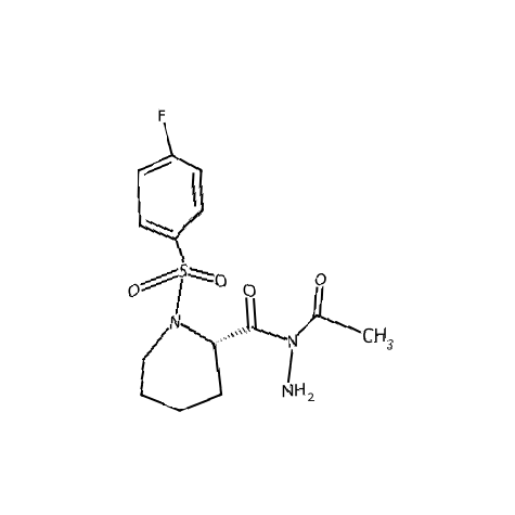 CC(=O)N(N)C(=O)[C@@H]1CCCCN1S(=O)(=O)c1ccc(F)cc1